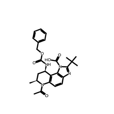 CC(=O)N1c2ccc3nc(C(C)(C)C)n(C(=O)O)c3c2[C@H](NC(=O)OCc2ccccc2)C[C@@H]1C